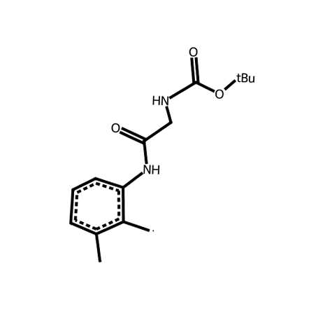 [CH2]c1c(C)cccc1NC(=O)CNC(=O)OC(C)(C)C